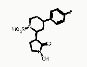 O=C1C(C2CC(c3ccc(F)cc3)CCN2S(=O)(=O)O)CCN1O